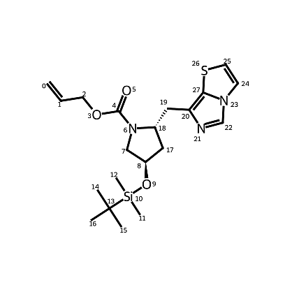 C=CCOC(=O)N1C[C@H](O[Si](C)(C)C(C)(C)C)C[C@H]1Cc1ncn2ccsc12